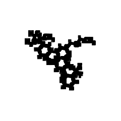 CCOCc1cc(-c2cc(C(C)(C)C)ccc2N)c2ccc(-c3ncccc3C(F)(F)F)nc2n1